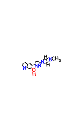 CN1C[C@@H]2CN(c3ccc(-c4cc5cccnc5cc4O)nn3)C[C@H]2C1